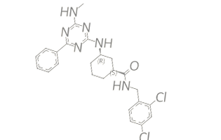 CNc1nc(N[C@@H]2CCC[C@H](C(=O)NCc3ccc(Cl)cc3Cl)C2)nc(-c2ccccc2)n1